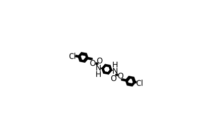 O=C(N[C@H]1CC[C@H](NC(=O)OCc2ccc(Cl)cc2)CC1)OCc1ccc(Cl)cc1